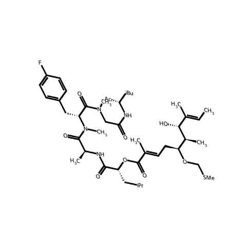 C/C=C(\C)[C@@H](O)[C@@H](C)[C@H](C/C=C(\C)C(=O)O[C@H](CC(C)C)C(=O)N[C@@H](C)C(=O)N(C)[C@H](Cc1ccc(F)cc1)C(=O)N(C)CC(=O)N[C@H](C(C)=O)C(C)CC)OCSC